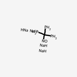 O=NC(P)(P)P.[NaH].[NaH].[NaH].[NaH]